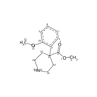 COC(=O)C1(c2ccccc2OC)CCNCC1